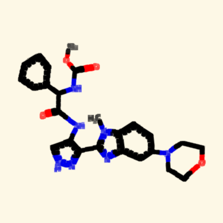 Cn1c(-c2n[nH]cc2NC(=O)C(NC(=O)OC(C)(C)C)c2ccccc2)nc2cc(N3CCOCC3)ccc21